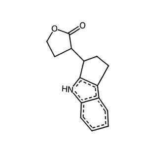 O=C1OCCC1C1CCc2c1[nH]c1ccccc21